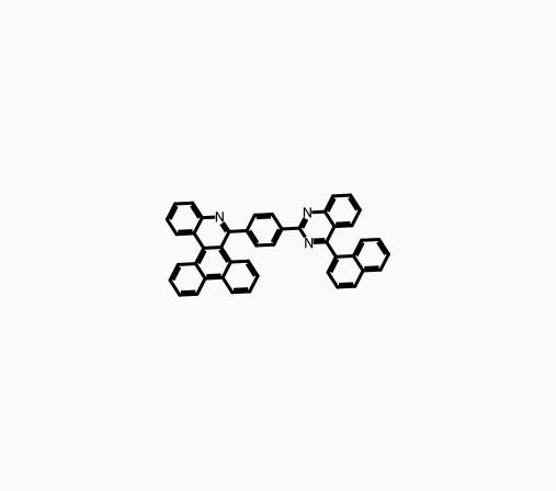 c1ccc2c(-c3nc(-c4ccc(-c5nc6ccccc6c6c7ccccc7c7ccccc7c56)cc4)nc4ccccc34)cccc2c1